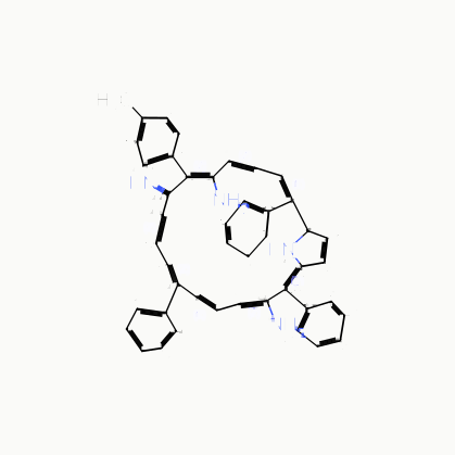 Cc1ccc(\C2=C(N)/C=C\C=C(/C3=CC=CCC3)C3C=C/C(=C(c4ccccc4)/C(N)=C/C=C/C(c4ccccc4)=C/C=C\C2=N)N3)cc1